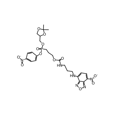 CC1(C)OCC(COP(=O)(CCCOC(=O)NCCCNc2ccc([N+](=O)[O-])c3nonc23)Oc2ccc([N+](=O)[O-])cc2)O1